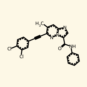 Cc1cc2ncc(C(=O)Nc3ccccc3)n2nc1C#Cc1ccc(Cl)c(Cl)c1